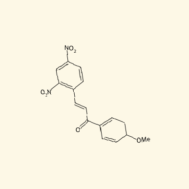 COC1C=CC(C(=O)/C=C/c2ccc([N+](=O)[O-])cc2[N+](=O)[O-])=CC1